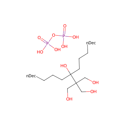 CCCCCCCCCCCCCC(O)(CCCCCCCCCCCCC)C(CO)(CO)CO.O=P(O)(O)OP(=O)(O)O